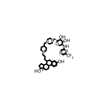 C[C@]12CCC3c4ccc(O)cc4CC(CCCN4CCC(CN5CCN(C[C@H]6OC[C@H](Nc7cncc(C(F)(F)F)n7)[C@@H](O)[C@H]6O)CC5)CC4)C3C1CC[C@@H]2O